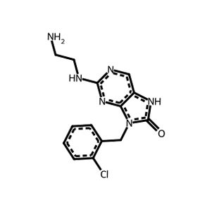 NCCNc1ncc2[nH]c(=O)n(Cc3ccccc3Cl)c2n1